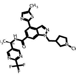 Cc1cnc(-c2cc(C(=O)N[C@H](C)c3cnc(C(F)(F)F)nc3)cc3c2cnn3CC2CCN(C)C2)s1